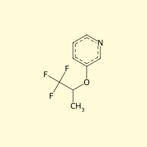 CC(Oc1cccnc1)C(F)(F)F